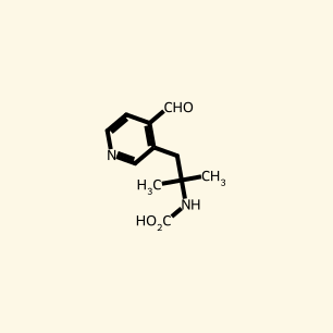 CC(C)(Cc1cnccc1C=O)NC(=O)O